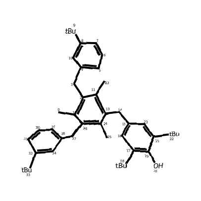 Cc1c(Cc2cccc(C(C)(C)C)c2)c(C)c(Cc2cc(C(C)(C)C)c(O)c(C(C)(C)C)c2)c(C)c1Cc1cccc(C(C)(C)C)c1